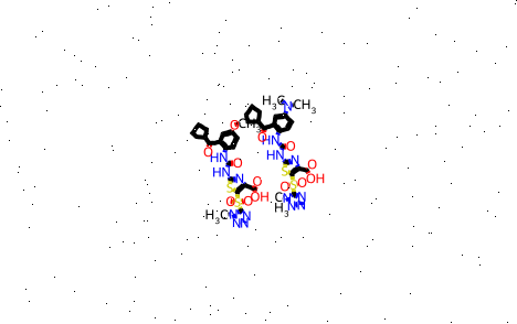 CN(C)c1ccc(NC(=O)Nc2nc(C(=O)O)c(S(=O)(=O)c3nnnn3C)s2)c(C(=O)C2CCCC2)c1.COc1ccc(NC(=O)Nc2nc(C(=O)O)c(S(=O)(=O)c3nnnn3C)s2)c(C(=O)C2CCCC2)c1